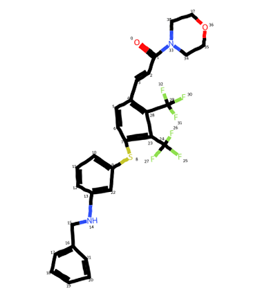 O=C(C=Cc1ccc(Sc2cccc(NCc3ccccc3)c2)c(C(F)(F)F)c1C(F)(F)F)N1CCOCC1